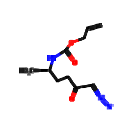 C=CCOC(=O)N[C@@H](CCC(=O)C=[N+]=[N-])C(=O)O